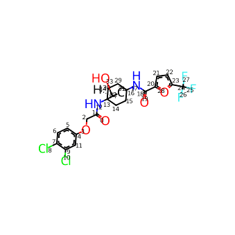 O=C(COc1ccc(Cl)c(Cl)c1)NC12CCC(NC(=O)c3ccc(C(F)(F)F)o3)(CC1)C[C@@H]2O